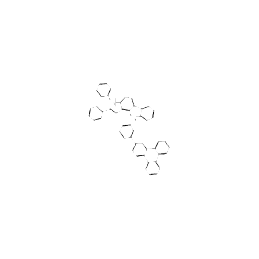 c1ccc(-c2cc3c(ccc4c5ccccc5n(-c5cccc(-c6ccc7c8ccccc8c8ccccc8c7c6)c5)c43)n2-c2ccccc2)cc1